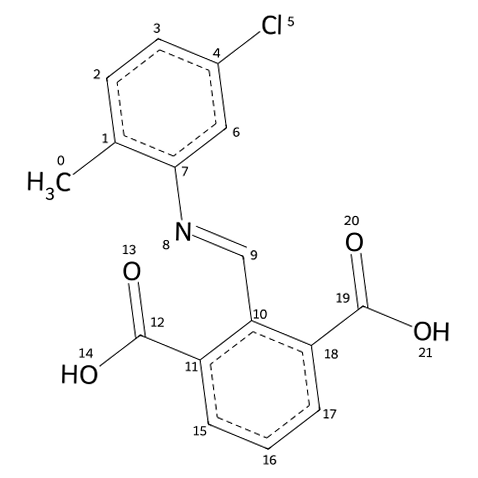 Cc1ccc(Cl)cc1N=Cc1c(C(=O)O)cccc1C(=O)O